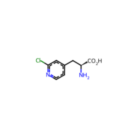 N[C@@H](Cc1ccnc(Cl)c1)C(=O)O